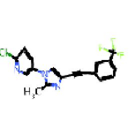 Cc1nc(C#Cc2cccc(C(F)(F)F)c2)cn1-c1ccc(Cl)nc1